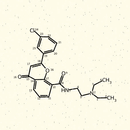 CCN(CC)CCNC(=O)c1cccc2c(=O)cc(-c3cccc(Cl)c3)oc12